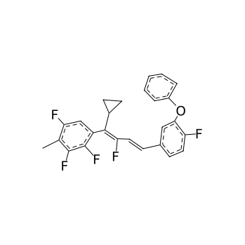 Cc1c(F)cc(/C(=C(F)/C=C/c2ccc(F)c(Oc3ccccc3)c2)C2CC2)c(F)c1F